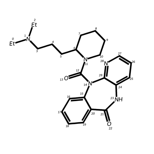 CCN(CC)CCCC1CCCCN1C(=O)N1c2ccccc2C(=O)Nc2cccnc21